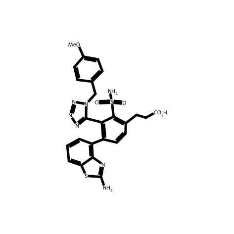 COc1ccc(Cn2nnnc2-c2c(-c3cccc4sc(N)nc34)ccc(CCC(=O)O)c2S(N)(=O)=O)cc1